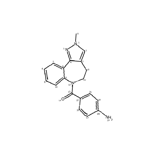 Cn1cc2c(n1)-c1ccccc1N(C(=O)c1ccc(N)cc1)CC2